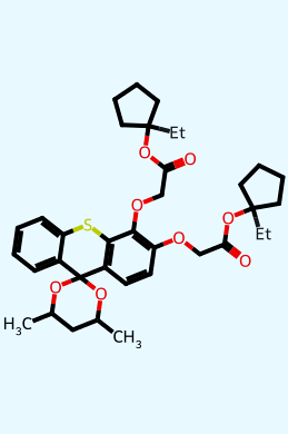 CCC1(OC(=O)COc2ccc3c(c2OCC(=O)OC2(CC)CCCC2)Sc2ccccc2C32OC(C)CC(C)O2)CCCC1